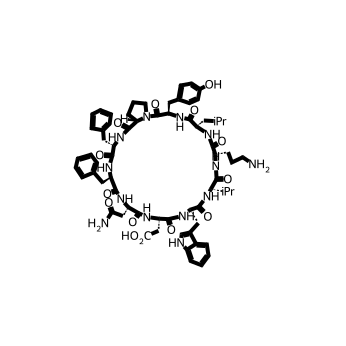 CC(C)C[C@@H]1NC(=O)[C@H](CCCN)NC(=O)[C@H](C(C)C)NC(=O)[C@H](Cc2c[nH]c3ccccc23)NC(=O)[C@H](CC(=O)O)NC(=O)[C@H](CC(N)=O)NC(=O)[C@@H](Cc2ccccc2)NC(=O)[C@H](Cc2ccccc2)NC(=O)[C@@H]2CCCN2C(=O)[C@@H](Cc2ccc(O)cc2)NC1=O